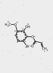 C=CC(=O)Oc1c(Br)ccc(OC)c1O